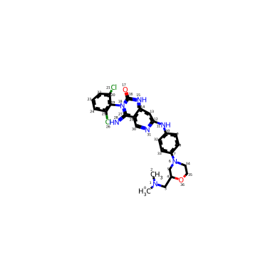 CN(C)CC1CN(c2ccc(Nc3cc4[nH]c(=O)n(-c5c(Cl)cccc5Cl)c(=N)c4cn3)cc2)CCO1